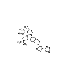 Cc1ncc(-c2ccc3c(c2)CCN(c2nccc(-c4cnccn4)n2)C3)c(N2CCC(C)(C)CC2)c1[C@H](OC(C)(C)C)C(=O)O